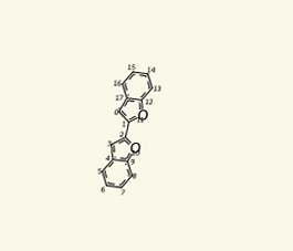 [c]1c(-c2cc3ccccc3o2)oc2ccccc12